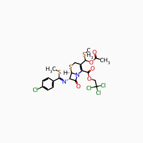 CSC(=N[C@H]1C(=O)N2C(C(=O)OCC(Cl)(Cl)Cl)=C(C(OC(C)=O)SC)CS[C@H]12)c1ccc(Cl)cc1